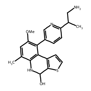 COc1cc(C)c2c(c1-c1ccc(C(C)CN)nc1)-c1ccsc1C(O)N2